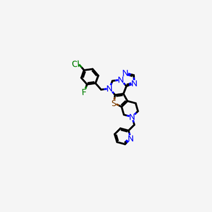 Fc1cc(Cl)ccc1CN1Cn2ncnc2-c2c1sc1c2CCN(Cc2ccccn2)C1